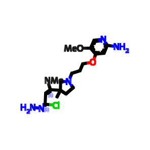 CN/C(=C/C(Cl)=N\N)C1(C)CCN(CCCOc2cc(N)ncc2OC)C1